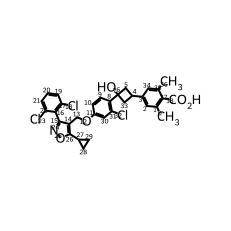 Cc1cc(C2CC(O)(c3ccc(OCc4c(-c5c(Cl)cccc5Cl)noc4C4CC4)cc3Cl)C2)cc(C)c1C(=O)O